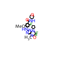 COc1cc(C(=O)NC2CCOCC2)c(F)cc1Nc1ncc2c(n1)N(C1CCCC1)CC(F)(F)C(=O)N2C